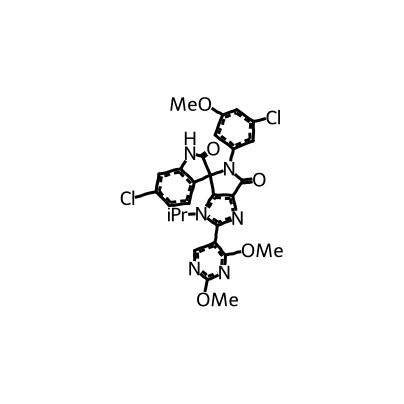 COc1cc(Cl)cc(N2C(=O)c3nc(-c4cnc(OC)nc4OC)n(C(C)C)c3C23C(=O)Nc2cc(Cl)ccc23)c1